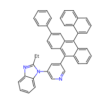 CCc1nc2ccccc2n1-c1cncc(-c2c3ccccc3c(-c3cccc4ccccc34)c3cc(-c4ccccc4)ccc23)c1